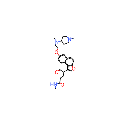 CNC(=O)CCC(C=O)c1coc2ccc3cc(OCCN(C)C4CCN(C)CC4)ccc3c12